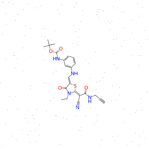 C#CCNC(=O)C(C#N)=c1sc(=CNc2cccc(NC(=O)OC(C)(C)C)c2)c(=O)n1CC